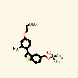 COCCOc1ccc(-c2csc3ccc(CO[Si](C)(C)C(C)(C)C)cc23)c(C)c1